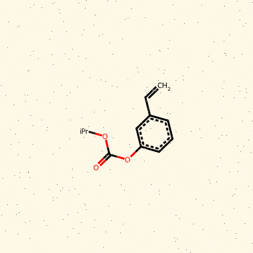 C=Cc1cccc(OC(=O)OC(C)C)c1